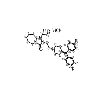 Cl.O=C1N2CCCCCC2N(CCO)N1CCN1CCC(=C(c2ccc(F)cc2)c2ccc(F)cc2)CC1